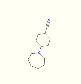 N#CC1CCC(N2CCCCCC2)CC1